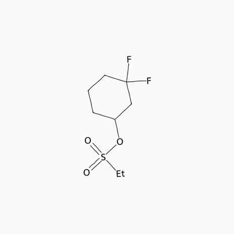 CCS(=O)(=O)OC1CCCC(F)(F)C1